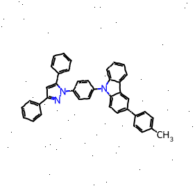 Cc1ccc(-c2ccc3c(c2)c2ccccc2n3-c2ccc(-n3nc(-c4ccccc4)cc3-c3ccccc3)cc2)cc1